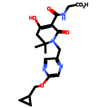 CC1(C)CC(O)=C(C(=O)NCC(=O)O)C(=O)N1Cc1cnc(OCC2CC2)cn1